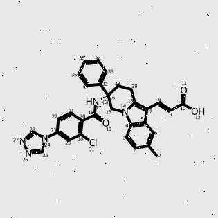 Cc1ccc2c(c1)c(C=CC(=O)O)c1n2C[C@@](NC(=O)c2ccc(-n3cnnc3)cc2Cl)(c2ccccc2)CC1